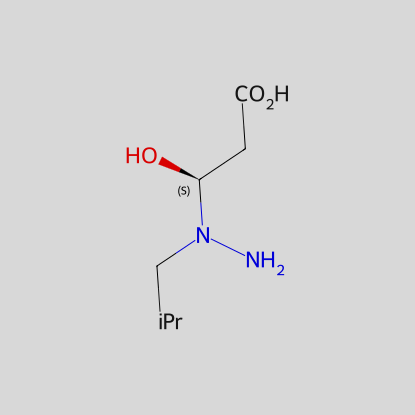 CC(C)CN(N)[C@@H](O)CC(=O)O